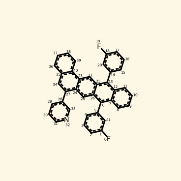 Fc1cccc(-c2c3ccccc3c(-c3cccc(F)c3)c3cc4c(cc23)c(-c2cccnc2)cc2ccccc24)c1